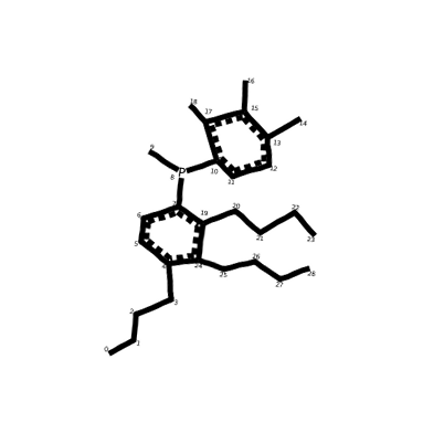 CCCCc1ccc(P(C)c2ccc(C)c(C)c2C)c(CCCC)c1CCCC